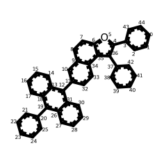 c1ccc(-c2oc3ccc4cc(-c5c6ccccc6c(-c6ccccc6)c6ccccc56)ccc4c3c2-c2ccccc2)cc1